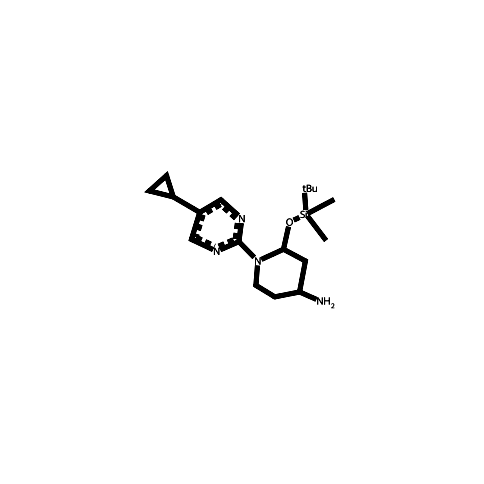 CC(C)(C)[Si](C)(C)OC1CC(N)CCN1c1ncc(C2CC2)cn1